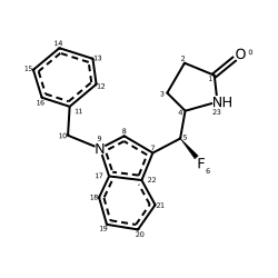 O=C1CCC([C@@H](F)c2cn(Cc3ccccc3)c3ccccc23)N1